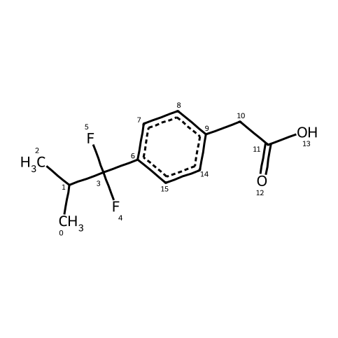 CC(C)C(F)(F)c1ccc(CC(=O)O)cc1